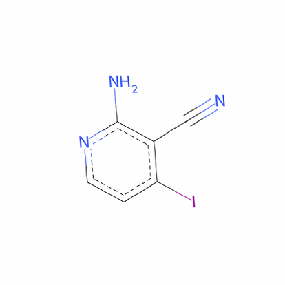 N#Cc1c(I)ccnc1N